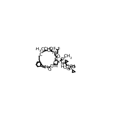 C=C[C@@H]1C[C@]1(NC(=O)[C@@H]1C[C@@H]2CN1C(=O)[C@H](CC(F)F)NC(=O)OC(C)(C)CCCCc1cccc3c1CN(C3)C(=O)O2)C(=O)NS(=O)(=O)C1CC1